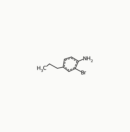 CCCc1ccc(N)c(Br)c1